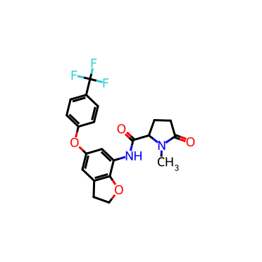 CN1C(=O)CCC1C(=O)Nc1cc(Oc2ccc(C(F)(F)F)cc2)cc2c1OCC2